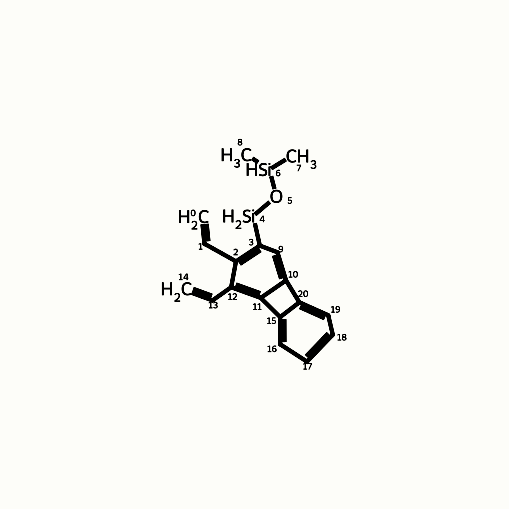 C=Cc1c([SiH2]O[SiH](C)C)cc2c(c1C=C)-c1ccccc1-2